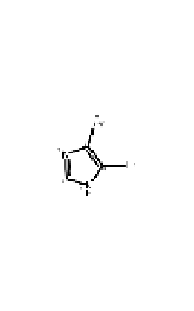 CC(C)c1nc[nH]c1I